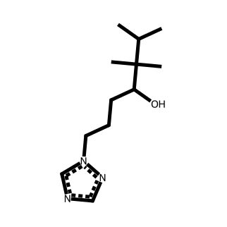 CC(C)C(C)(C)C(O)CCCn1cncn1